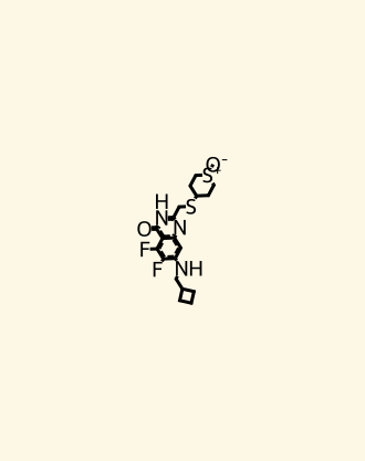 O=c1[nH]c(CSC2CC[S+]([O-])CC2)nc2cc(NCC3CCC3)c(F)c(F)c12